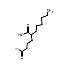 CCCCCCC(CCCC(=O)S)C(=O)O